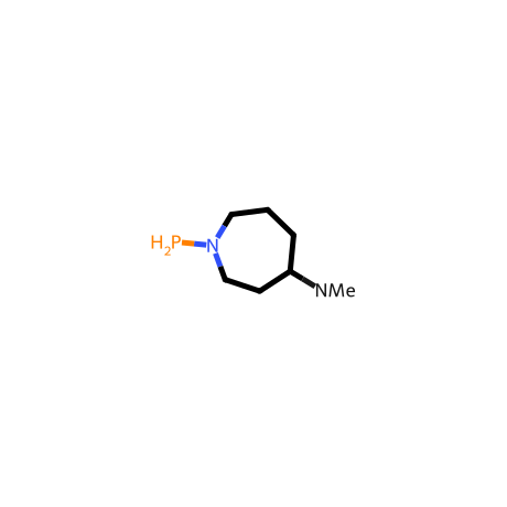 CNC1CCCN(P)CC1